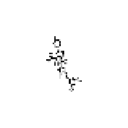 C=CC(=O)Nc1cc(N2CCN(C)CC2)ccc1C(=O)Nc1cc(CCc2cc(OC)cc(OC)c2)[nH]n1